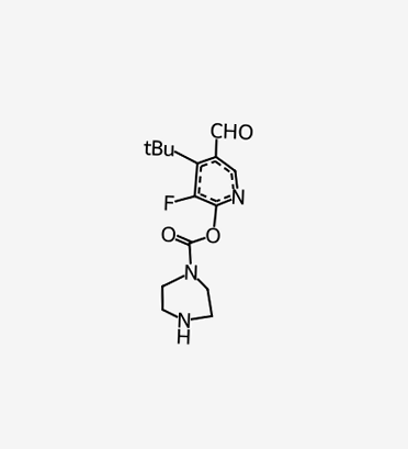 CC(C)(C)c1c(C=O)cnc(OC(=O)N2CCNCC2)c1F